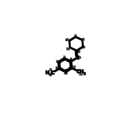 Cc1ccc(N=C2CCCCC2)c(C)c1